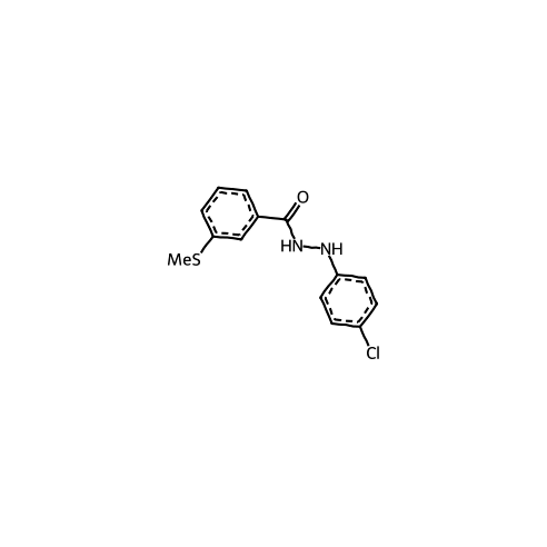 CSc1cccc(C(=O)NNc2ccc(Cl)cc2)c1